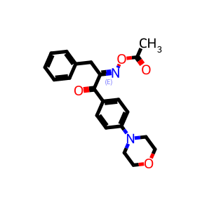 CC(=O)O/N=C(\Cc1ccccc1)C(=O)c1ccc(N2CCOCC2)cc1